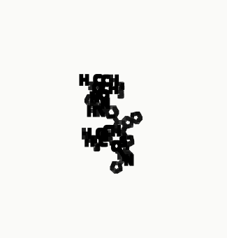 CC(C)(C)OC(=O)N1CCC[C@H]1c1nc2ccc(-c3ccc(-c4ccc(-c5cnc(C6CCCC6)n5COCC[Si](C)(C)C)s4)c4c3CC3(CCCC3)C4)cc2[nH]1